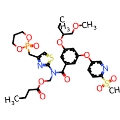 CCCC(=O)OCN(C(=O)c1cc(Oc2ccc(S(C)(=O)=O)nc2)cc(OC(CC)COC)c1)c1nc(CP2(=O)OCCCO2)cs1